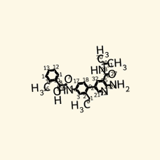 CCc1cc(NC(=O)[C@H](O)c2ccccc2C)ccc1-c1cnc(N)c(C(=O)NC(C)C)c1